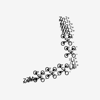 [Li+].[Li+].[Li+].[Li+].[Mg+2].[Mg+2].[Mg+2].[Mg+2].[O-][Si]([O-])([O-])[O-].[O-][Si]([O-])([O-])[O-].[O-][Si]([O-])([O-])[O-].[O-][Si]([O-])([O-])[O-].[O-][Si]([O-])([O-])[O-].[Zn+2].[Zn+2].[Zn+2].[Zn+2]